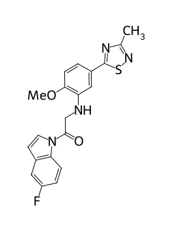 COc1ccc(-c2nc(C)ns2)cc1NCC(=O)n1ccc2cc(F)ccc21